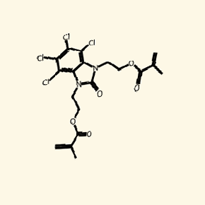 C=C(C)C(=O)OCCn1c(=O)n(CCOC(=O)C(=C)C)c2c(Cl)c(Cl)c(Cl)c(Cl)c21